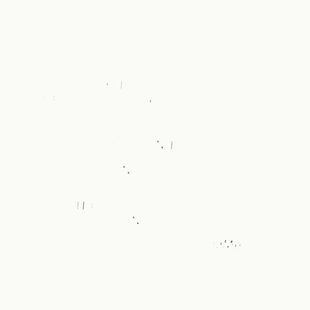 COc1cc2nc(C)nc(NC(C)c3cccc(C(F)(F)F)c3C)c2cc1I